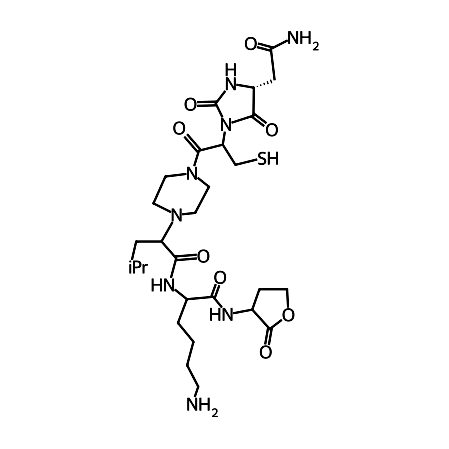 CC(C)CC(C(=O)NC(CCCCN)C(=O)NC1CCOC1=O)N1CCN(C(=O)C(CS)N2C(=O)N[C@H](CC(N)=O)C2=O)CC1